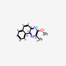 CC(C)Oc1nc2ccc3ccccc3c2nc1C(C)C